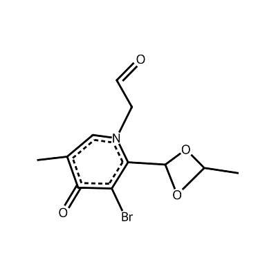 Cc1cn(CC=O)c(C2OC(C)O2)c(Br)c1=O